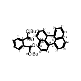 CC(C)COC(=O)c1ccccc1C(=O)OCC(C)C.c1cc2cccc3c4cccc5cccc(c(c1)c23)c54